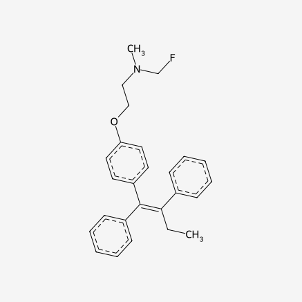 CC/C(=C(\c1ccccc1)c1ccc(OCCN(C)CF)cc1)c1ccccc1